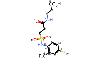 O=C(O)CCNC(=O)CCS(=O)(=O)Nc1ccc(F)cc1C(F)(F)F